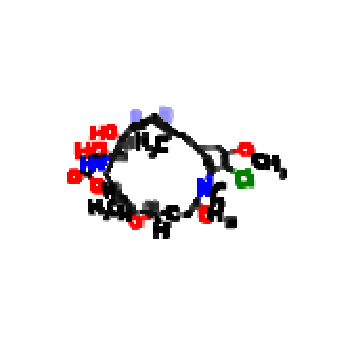 COc1cc2cc(c1Cl)N(C)C(=O)CC[C@@H]1O[C@@H]1[C@H](C)[C@@H]1C[C@@](O)(NC(=O)O1)[C@H](O)/C=C/C=C(\C)C2